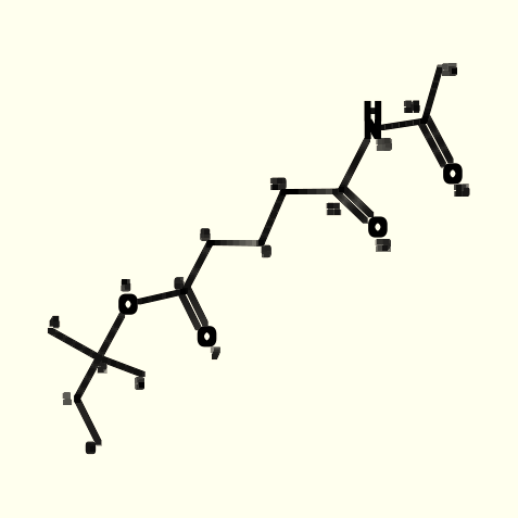 CCC(C)(C)OC(=O)CCCC(=O)NC(C)=O